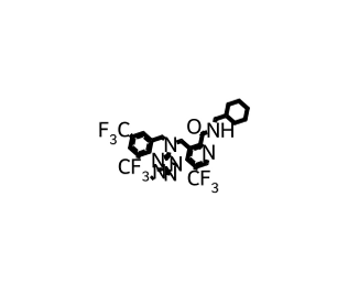 Cn1nnc(N(Cc2cc(C(F)(F)F)cc(C(F)(F)F)c2)Cc2cc(C(F)(F)F)cnc2C(=O)NCC2CCCCC2)n1